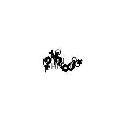 CC(C)n1c(=O)c2cnc(Nc3ccc4c(c3)CN(C(=O)OC(C)(C)C)CC4)nc2n1-c1ccnc(C(C)(C)F)c1